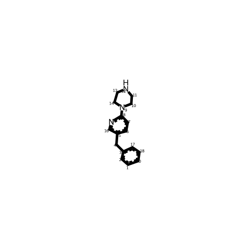 c1ccc(Cc2ccc(N3CCNCC3)nc2)cc1